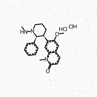 CNN1CCC[C@@H](c2cc3c(ccc(=O)n3C)cc2OC)[C@H]1c1ccccc1.Cl.Cl